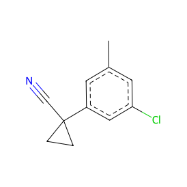 Cc1cc(Cl)cc(C2(C#N)CC2)c1